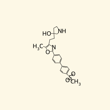 Cc1oc(-c2ccc(-c3ccc(S(C)(=O)=O)cc3)cc2)nc1CCC1(O)CCNC1